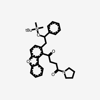 CC(C)(C)[Si](C)(C)OC(Cc1ccc2oc3ccccc3c2c1C(=O)CCC(=O)N1CCCC1)c1ccccc1